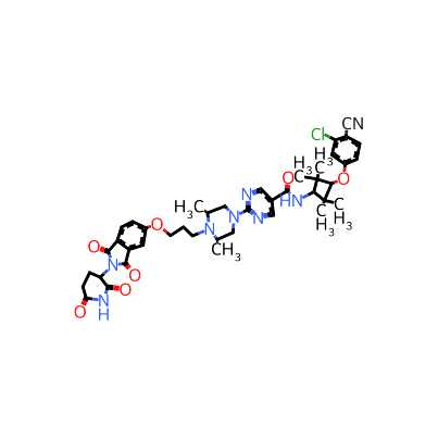 C[C@H]1CN(c2ncc(C(=O)NC3C(C)(C)C(Oc4ccc(C#N)c(Cl)c4)C3(C)C)cn2)C[C@H](C)N1CCCOc1ccc2c(c1)C(=O)N(C1CCC(=O)NC1=O)C2=O